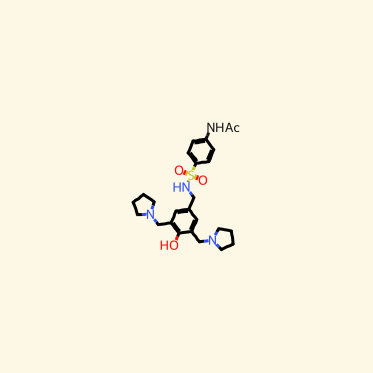 CC(=O)Nc1ccc(S(=O)(=O)NCc2cc(CN3CCCC3)c(O)c(CN3CCCC3)c2)cc1